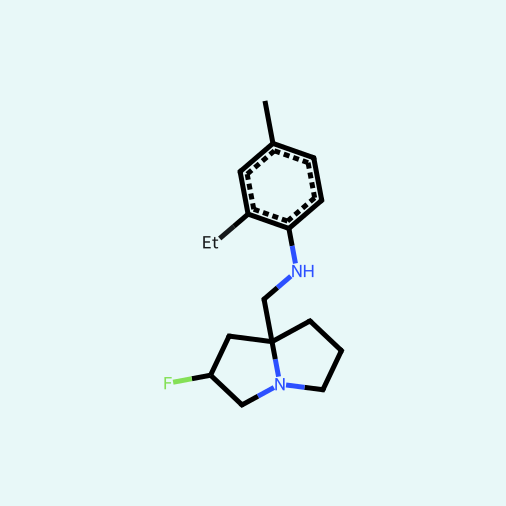 CCc1cc(C)ccc1NCC12CCCN1CC(F)C2